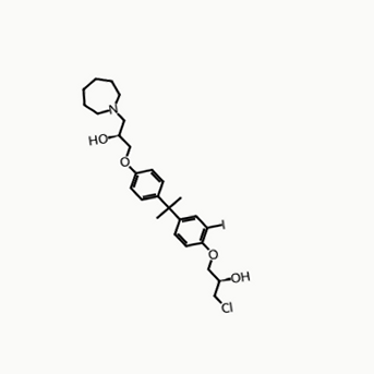 CC(C)(c1ccc(OC[C@@H](O)CN2CCCCCC2)cc1)c1ccc(OC[C@@H](O)CCl)c(I)c1